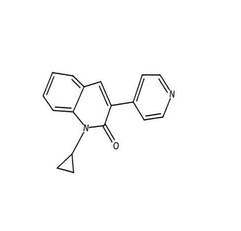 O=c1c(-c2ccncc2)cc2ccccc2n1C1CC1